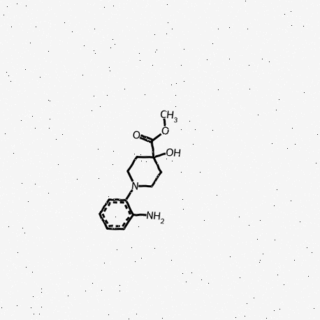 COC(=O)C1(O)CCN(c2ccccc2N)CC1